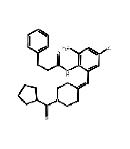 Cc1cc(Cl)cc(C=C2CCN(C(=O)C3CCCC3)CC2)c1NC(=O)CCc1ccccc1